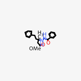 COC(=O)CC(C)(CCc1ccccc1)NNC(=O)c1ccccc1